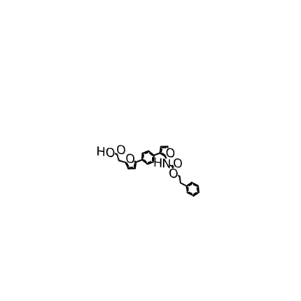 O=C(O)Cc1ccc(-c2ccc(-c3ccoc3NC(=O)OCCc3ccccc3)cc2)o1